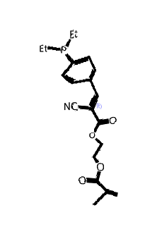 C=C(C)C(=O)OCCOC(=O)/C(C#N)=C/c1ccc(P(CC)CC)cc1